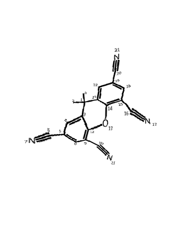 CC1(C)c2cc(C#N)cc(C#N)c2Oc2c(C#N)cc(C#N)cc21